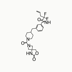 C=CCC(F)(F)S(=N)(=O)c1cccc(CC2CCN(C(=O)N3CC4(COC(=O)N4)C3)CC2)c1